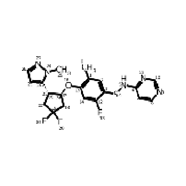 Cc1cc(SNc2ccncn2)c(F)cc1O[C@H]1CC(F)(F)C[C@@H]1c1ccnn1C